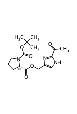 CC(=O)c1nc(COC(=O)[C@@H]2CCCN2C(=O)OC(C)(C)C)c[nH]1